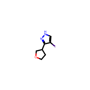 Ic1c[nH]nc1C1CCOC1